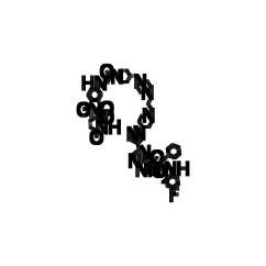 Nc1ncc(-c2cnn(C3CCN(CCCN4CCN(CC5CCN(C(=O)CNc6ccc7c(c6)C(=O)N(C6CCC(=O)NC6=O)C7=O)CC5)CC4)CC3)c2)nc1C(=O)O[C@@H](C(=O)Nc1ccc(F)cc1)c1ccccc1